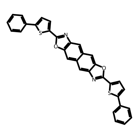 c1ccc(-c2ccc(-c3nc4cc5cc6oc(-c7ccc(-c8ccccc8)s7)nc6cc5cc4o3)s2)cc1